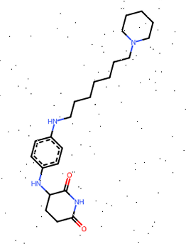 O=C1CCC(Nc2ccc(NCCCCCCCN3CCCCC3)cc2)C(=O)N1